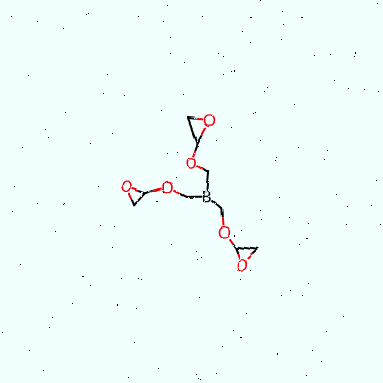 C(OC1CO1)B(COC1CO1)COC1CO1